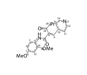 COc1ccc(NC(=O)C(=Cc2ccncc2)C(=O)C(C)C)c(OC)c1